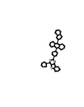 c1ccc(-c2nc(-c3ccc(-c4c5ccccc5c(-c5ccc6ccccc6c5)c5ccccc45)cc3)nc3c2sc2ccccc23)cc1